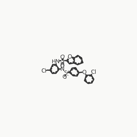 O=S(=O)(Nc1cc(Cl)ccc1N[S+]([O-])c1ccc(Oc2ccccc2Cl)cc1)c1cc2ccccc2o1